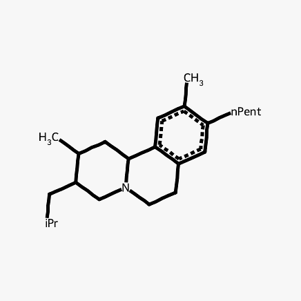 CCCCCc1cc2c(cc1C)C1CC(C)C(CC(C)C)CN1CC2